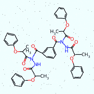 CC(Oc1ccccc1)C(=O)NN(C(=O)c1cccc(C(=O)N(NC(=O)C(C)Oc2ccccc2)C(=O)C(C)Oc2ccccc2)c1)C(=O)C(C)Oc1ccccc1